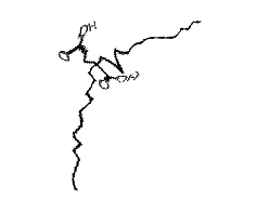 CCCCCCCCCCCCC(CCCCCCCCCCCC)(CCC(=O)O)C(=O)O